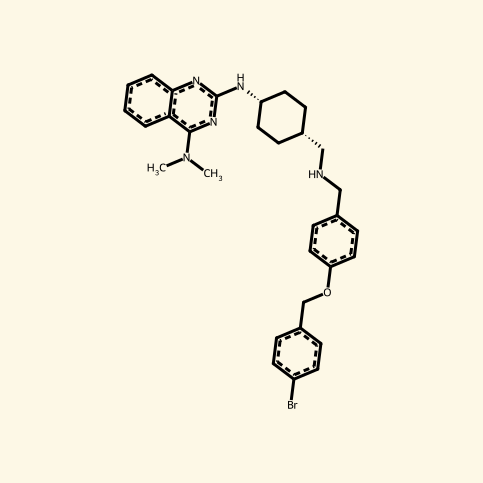 CN(C)c1nc(N[C@H]2CC[C@@H](CNCc3ccc(OCc4ccc(Br)cc4)cc3)CC2)nc2ccccc12